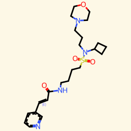 O=C(/C=C/c1cccnc1)NCCCCS(=O)(=O)N(CCCN1CCOCC1)C1CCC1